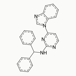 c1ccc(C(Nc2nccc(-n3cnc4ccccc43)n2)c2ccccc2)cc1